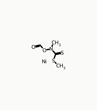 CSC(=S)N(C)OC=O.[Ni]